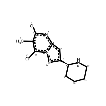 Cc1c(Cl)nc2cc([C@@H]3CCCCN3)nn2c1Cl